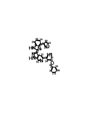 c1ccc(COc2cncc(-c3cc4c(-c5nc6c(-c7ccoc7)cccc6[nH]5)n[nH]c4cn3)c2)cc1